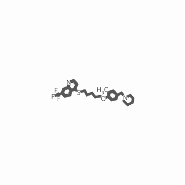 Cc1cc(CN2CCCCC2)ccc1OCCCCCSc1ccnc2cc(C(F)(F)F)ccc12